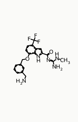 CNC(N)=NC(=O)c1cc2c(C(F)(F)F)ccc(OCc3cccc(CN)c3)c2[nH]1